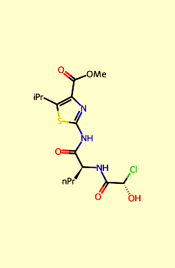 CCC[C@H](NC(=O)[C@@H](O)Cl)C(=O)Nc1nc(C(=O)OC)c(C(C)C)s1